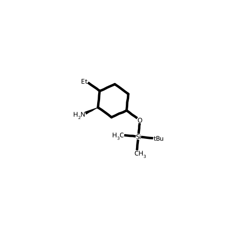 CC[C]1CCC(O[Si](C)(C)C(C)(C)C)C[C@H]1N